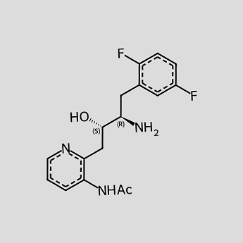 CC(=O)Nc1cccnc1C[C@H](O)[C@H](N)Cc1cc(F)ccc1F